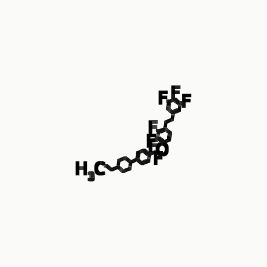 CCCC1CCC(c2ccc(C(F)(F)Oc3ccc(CCc4cc(F)c(F)c(F)c4)c(F)c3F)cc2)CC1